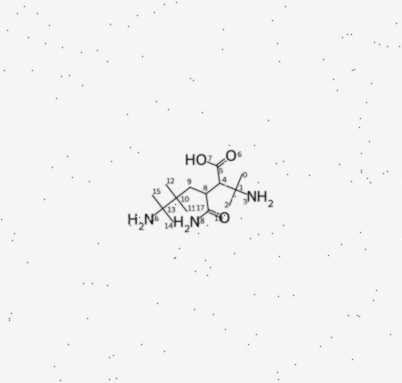 CC(C)(N)C(C(=O)O)C(CC(C)(C)C(C)(C)N)C(N)=O